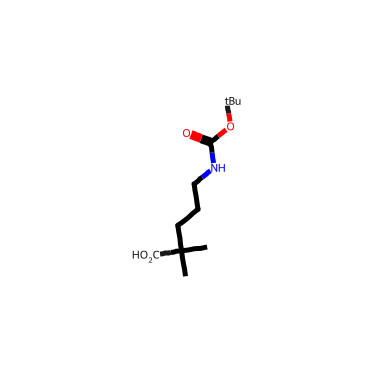 CC(C)(C)OC(=O)NCCCC(C)(C)C(=O)O